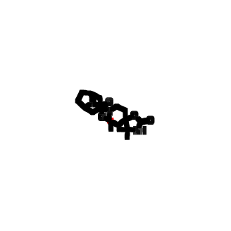 CCOC(=O)N1C2CCC1CC(N1CCC3(CC1)OC(=O)NC3(C)C)C2